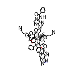 CC(C)N1C(C)C([C@H]2O[C@@H](n3cnc4c(NC(=O)c5ccccc5)ncnc43)CC2NP(=S)(OCCC#N)OC[C@H]2O[C@@H](n3cnc4c(/N=C\N(C)C)ncnc43)CC2NC(c2ccccc2)(c2ccccc2)c2ccccc2)OP1OCCC#N